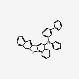 c1ccc(-c2cccc(N(c3ccccc3)c3cc4c5cc6ccccc6cc5sc4c4ccccc34)c2)cc1